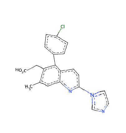 Cc1cc2nc(-n3ccnc3)ccc2c(-c2ccc(Cl)cc2)c1CC(=O)O